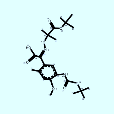 COc1cc(C)c(/C(=N/OC(C)(C)C(=O)OC(C)(C)C)C(=O)O)cc1NC(=O)OC(C)(C)C